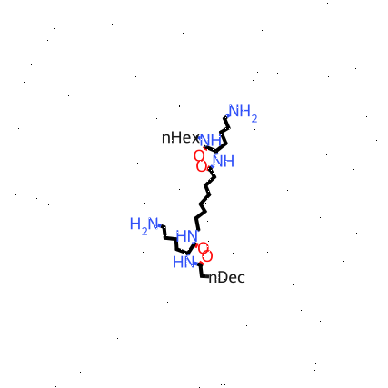 CCCCCCCCCCCC(=O)NC(CCCCN)C(=O)NCCCCCCCC(=O)NC(CCCCN)C(=O)NCCCCCC